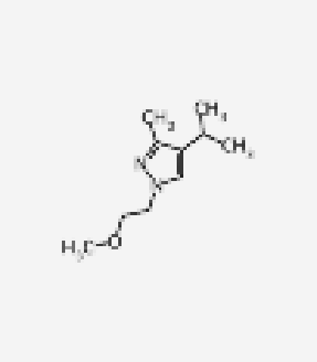 COCCn1cc(C(C)C)c(C)n1